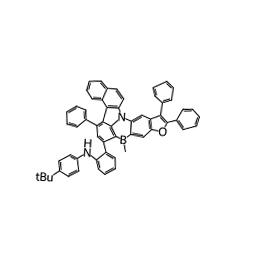 CB1c2cc3oc(-c4ccccc4)c(-c4ccccc4)c3cc2-n2c3ccc4ccccc4c3c3c(-c4ccccc4)cc(-c4ccccc4Nc4ccc(C(C)(C)C)cc4)c1c32